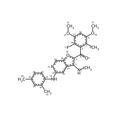 CNc1c(C(=O)c2c(C)c(OC)cc(OC)c2F)oc2cnc(Nc3ccc(C)cc3C)cc12